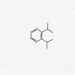 CC(C)c1[c]cc[c]c1C(C)C